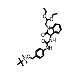 CCOC(CN1C(=O)C(NC(=O)Nc2ccc(CO[Si](C)(C)C(C)(C)C)cc2)c2ccccc21)OCC